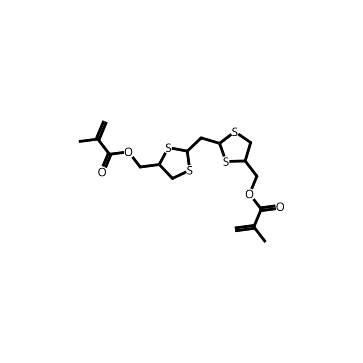 C=C(C)C(=O)OCC1CSC(CC2SCC(COC(=O)C(=C)C)S2)S1